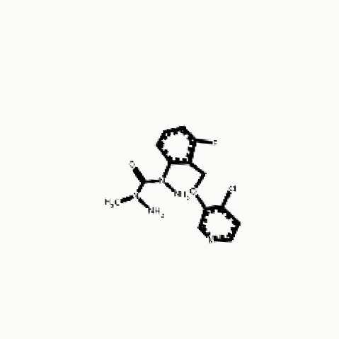 CN(N)C(=O)N(N)c1cccc(F)c1COc1cnccc1Cl